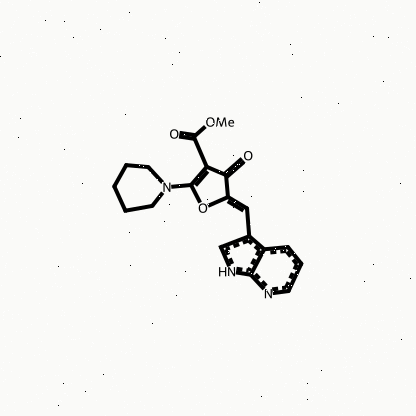 COC(=O)C1=C(N2CCCCC2)O/C(=C\c2c[nH]c3ncccc23)C1=O